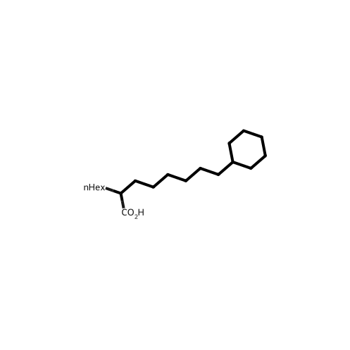 CCCCCCC(CCCCCCC1CCCCC1)C(=O)O